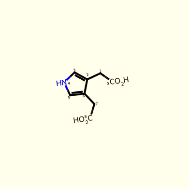 O=C(O)Cc1c[nH]cc1CC(=O)O